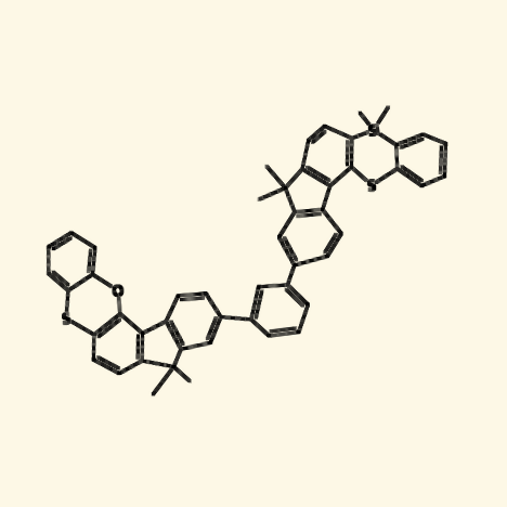 CC1(C)c2cc(-c3cccc(-c4ccc5c(c4)C(C)(C)c4ccc6c(c4-5)Sc4ccccc4[Si]6(C)C)c3)ccc2-c2c1ccc1c2Oc2ccccc2S1